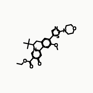 CCOC(=O)c1cn2c(cc1=O)-c1cc(OC)c(-c3cnc(N4CCOCC4)s3)cc1CC2C(C)(C)C